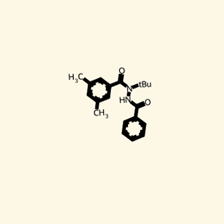 Cc1cc(C)cc(C(=O)N(NC(=O)c2ccccc2)C(C)(C)C)c1